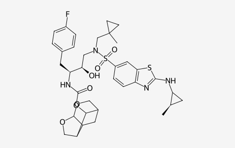 C[C@@H]1CC1Nc1nc2ccc(S(=O)(=O)N(C[C@@H](O)[C@H](Cc3ccc(F)cc3)NC(=O)OC3C4COC5OCC3C5C4)CC3(C)CC3)cc2s1